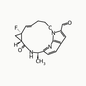 C[C@H]1NC(=O)[C@@H]2C[C@@]2(F)/C=C/CCCn2c(C=O)cc3ccc1nc32